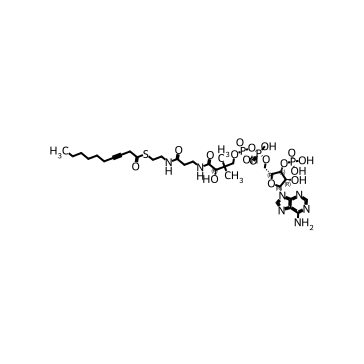 CCCCCCC#CCC(=O)SCCNC(=O)CCNC(=O)[C@H](O)C(C)(C)COP(=O)(O)OP(=O)(O)OC[C@H]1O[C@@H](n2cnc3c(N)ncnc32)[C@H](O)[C@@H]1OP(=O)(O)O